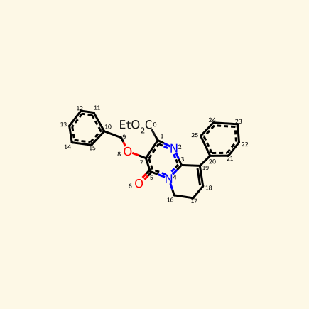 CCOC(=O)c1nc2n(c(=O)c1OCc1ccccc1)CCC=C2c1ccccc1